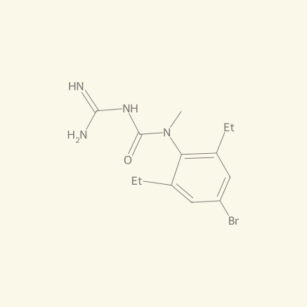 CCc1cc(Br)cc(CC)c1N(C)C(=O)NC(=N)N